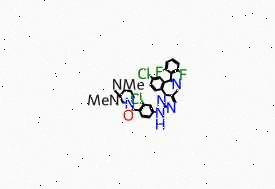 CNCC1(NC)CCCN(C(=O)c2ccc(Nc3ncc4c(n3)-c3ccc(Cl)cc3C(c3c(F)cccc3F)=NC4)cc2Cl)C1